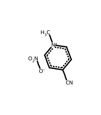 C[n+]1ccc(C#N)cc1.O=[N+]([O-])[O-]